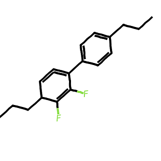 CCCc1ccc(C2=C=CC(CCC)C(F)=C2F)cc1